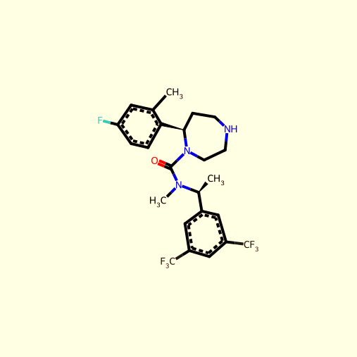 Cc1cc(F)ccc1[C@H]1CCNCCN1C(=O)N(C)[C@@H](C)c1cc(C(F)(F)F)cc(C(F)(F)F)c1